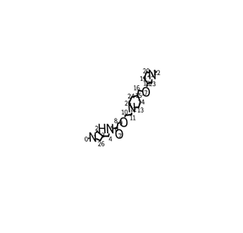 CN1CC(CNC(=O)COCCN2CCC(COC3CCN(C)C3)CC2)C1